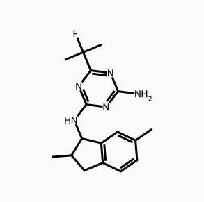 Cc1ccc2c(c1)C(Nc1nc(N)nc(C(C)(C)F)n1)C(C)C2